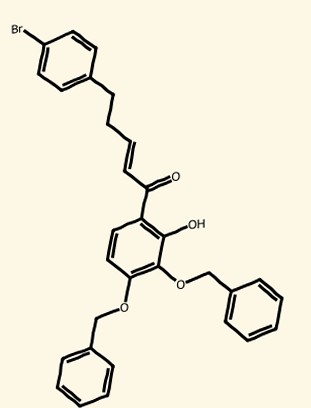 O=C(/C=C/CCc1ccc(Br)cc1)c1ccc(OCc2ccccc2)c(OCc2ccccc2)c1O